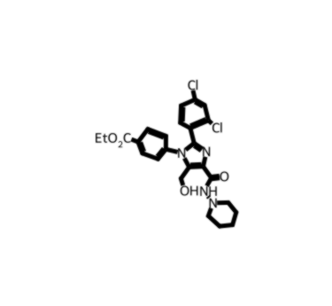 CCOC(=O)c1ccc(-n2c(-c3ccc(Cl)cc3Cl)nc(C(=O)NN3CCCCC3)c2CO)cc1